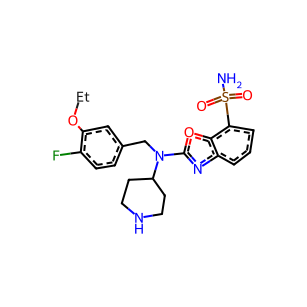 CCOc1cc(CN(c2nc3cccc(S(N)(=O)=O)c3o2)C2CCNCC2)ccc1F